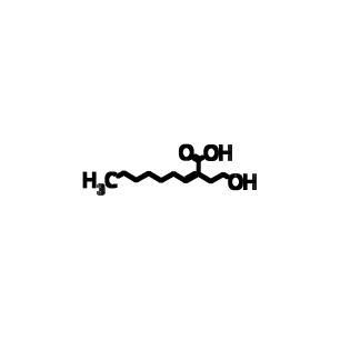 CCCCCCC=C(CCO)C(=O)O